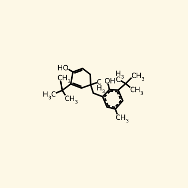 Cc1cc(CC2(C)C=C(C(C)(C)C)C(O)=CC2)c(O)c(C(C)(C)C)c1